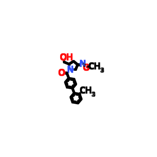 CON=C1CC(CO)N(C(=O)c2ccc(-c3ccccc3C)cc2)C1